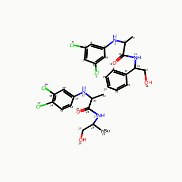 CC(Nc1cc(Cl)cc(Cl)c1)C(=O)NC(CO)c1ccccc1.CCCCC(CO)NC(=O)C(C)Nc1ccc(Cl)c(Cl)c1